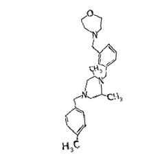 Cc1ccc(CN2CC(C)N(Cc3cccc(CN4CCOCC4)c3)C(C)C2)cc1